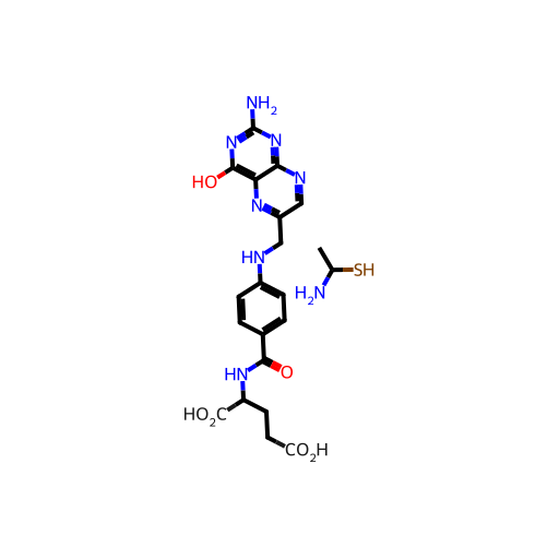 CC(N)S.Nc1nc(O)c2nc(CNc3ccc(C(=O)NC(CCC(=O)O)C(=O)O)cc3)cnc2n1